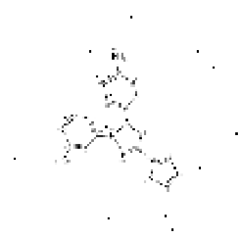 Nc1ccc(C2CC(c3cccs3)=NN2c2cccc(Cl)c2)cc1